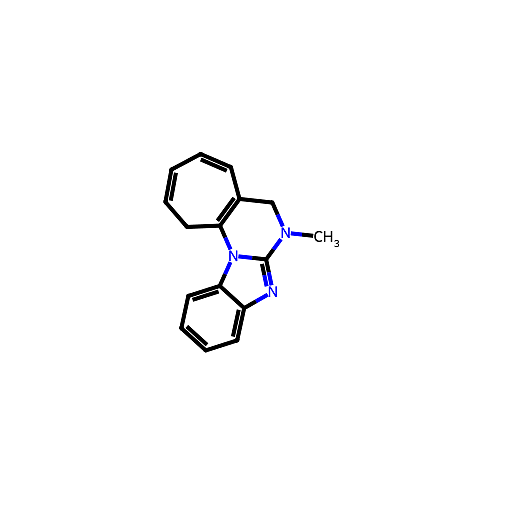 CN1CC2=C(CC=CC=C2)n2c1nc1ccccc12